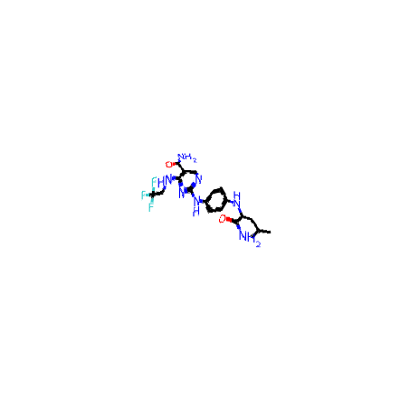 CC(C)CC(Nc1ccc(Nc2ncc(C(N)=O)c(NCC(F)(F)F)n2)cc1)C(N)=O